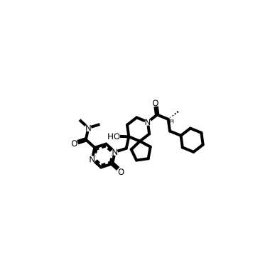 C[C@H](CC1CCCCC1)C(=O)N1CCC(O)(Cn2cc(C(=O)N(C)C)ncc2=O)C2(CCCC2)C1